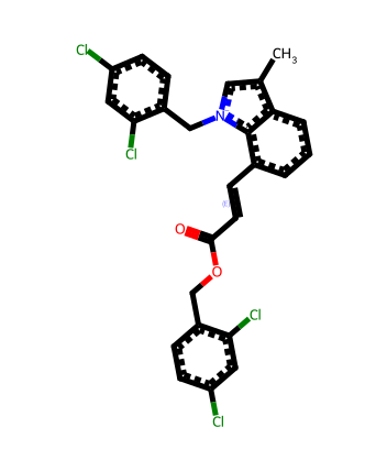 Cc1cn(Cc2ccc(Cl)cc2Cl)c2c(/C=C/C(=O)OCc3ccc(Cl)cc3Cl)cccc12